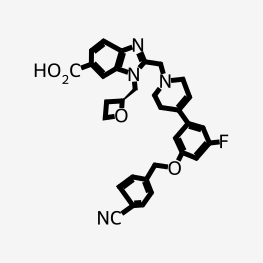 N#Cc1ccc(COc2cc(F)cc(C3=CCN(Cc4nc5ccc(C(=O)O)cc5n4C[C@@H]4CCO4)CC3)c2)cc1